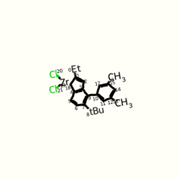 CCC1=Cc2c(ccc(C(C)(C)C)c2-c2cc(C)cc(C)c2)[CH]1[Zr]([Cl])[Cl]